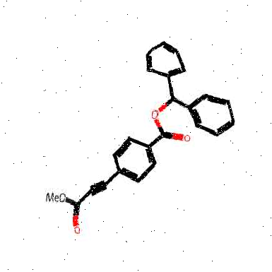 COC(=O)C#Cc1ccc(C(=O)OC(c2ccccc2)c2ccccc2)cc1